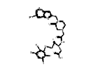 O=C(O)C[C@H](NC(=O)CN1CCN(Cc2cc3ncc(Br)cc3o2)C(=O)C1)C(=O)COc1c(F)c(F)cc(F)c1F